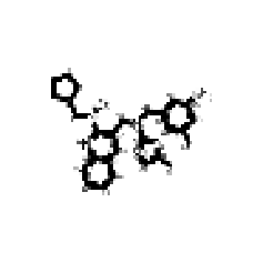 CCN(CC1CCCC1)c1nc2ccccc2cc1CN(Cc1cc(C)cc(C(F)(F)F)c1)c1nc(C)cs1